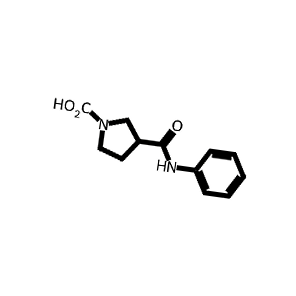 O=C(Nc1ccccc1)C1CCN(C(=O)O)C1